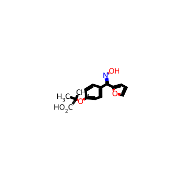 CC(C)(Oc1ccc(C(=NO)c2ccco2)cc1)C(=O)O